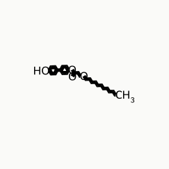 CCCCCCCCCCCCOCCC(=O)Oc1ccc(-c2ccc(O)cc2)cc1